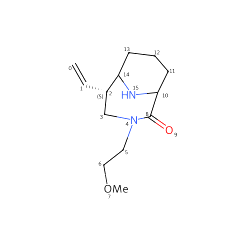 C=C[C@H]1CN(CCOC)C(=O)C2CCCC1N2